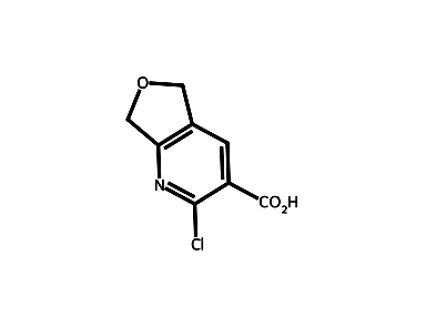 O=C(O)c1cc2c(nc1Cl)COC2